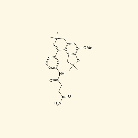 COc1cc2c(c3c1OC(C)(C)C3)C(c1cccc(NC(=O)CCC(N)=O)c1)=NC(C)(C)C2